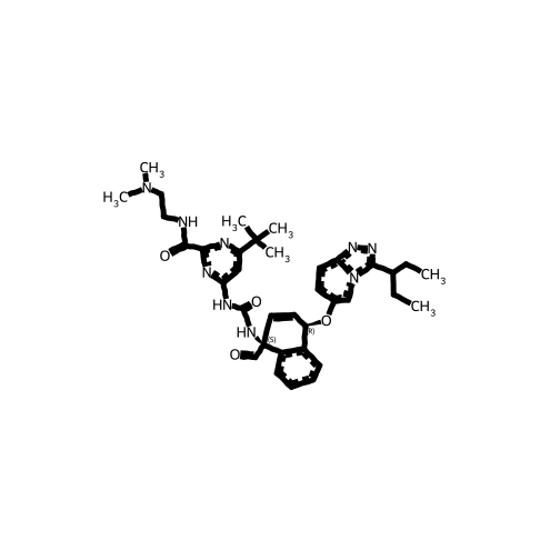 CCC(CC)c1nnc2ccc(O[C@@H]3C=C[C@](C=O)(NC(=O)Nc4cc(C(C)(C)C)nc(C(=O)NCCN(C)C)n4)c4ccccc43)cn12